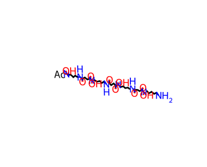 CC(=O)N(O)CCCCCNC(=O)CCC(=O)N(O)CCCCCNC(=O)CCC(=O)N(O)CCCCCNC(=O)CCC(=O)N(O)CCCCCN